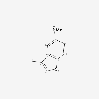 CNc1ccc2scc(C)c2c1